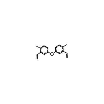 C=Cc1cc(Oc2ccc(C)c(C=C)c2)ccc1C